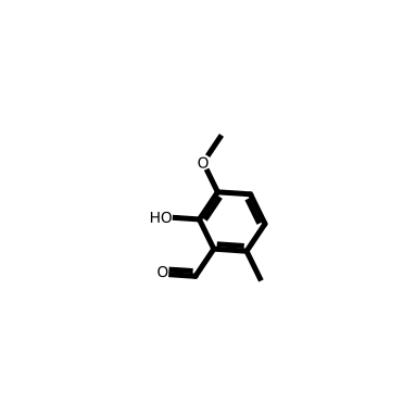 COc1ccc(C)c(C=O)c1O